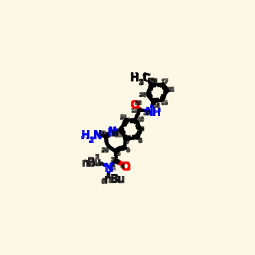 CCCCN(CCCC)C(=O)C1=Cc2ccc(C(=O)Nc3cccc(C)c3)cc2N=C(N)C1